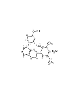 CCOc1ccc(C2OCOc3ccc(C4OC(COC(C)=O)C(OC(C)=O)C(OC(C)=O)C4OC(C)=O)cc32)cc1